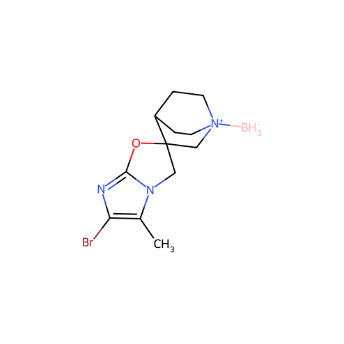 [BH3-][N+]12CCC(CC1)C1(Cn3c(nc(Br)c3C)O1)C2